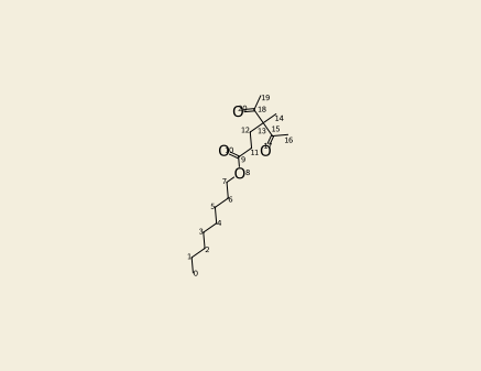 CCCCCCCCOC(=O)CCC(C)(C(C)=O)C(C)=O